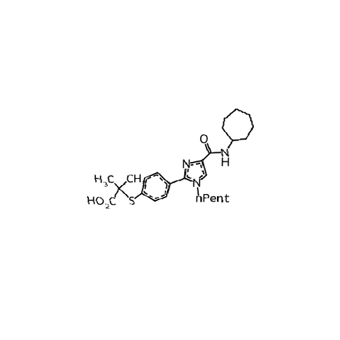 CCCCCn1cc(C(=O)NC2CCCCCC2)nc1-c1ccc(SC(C)(C)C(=O)O)cc1